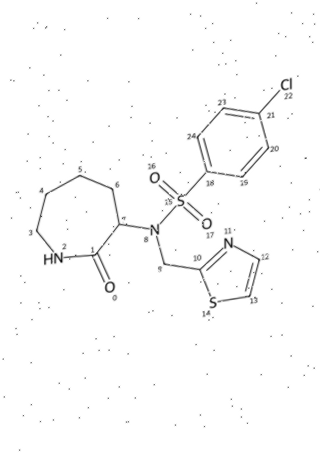 O=C1NCCCCC1N(Cc1nccs1)S(=O)(=O)c1ccc(Cl)cc1